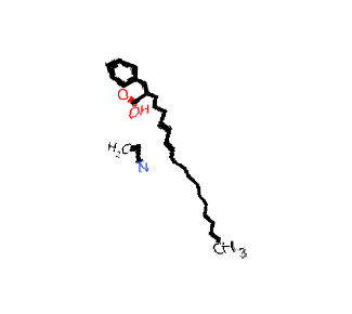 C=CC#N.CCCCCCCCCCCCCCCCCCC(Cc1ccccc1)C(=O)O